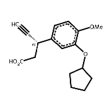 C#C[C@@H](CC(=O)O)c1ccc(OC)c(OC2CCCC2)c1